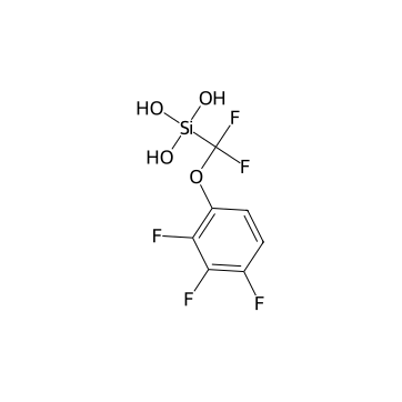 O[Si](O)(O)C(F)(F)Oc1ccc(F)c(F)c1F